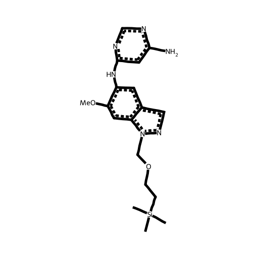 COc1cc2c(cnn2COCC[Si](C)(C)C)cc1Nc1cc(N)ncn1